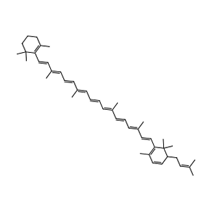 CC(C)=CCC1C=CC(C)=C(/C=C/C(C)=C/C=C/C(C)=C/C=C/C=C(C)/C=C/C=C(C)/C=C/C2=C(C)CCCC2(C)C)C1(C)C